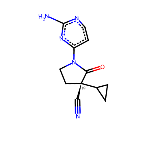 N#C[C@@]1(C2CC2)CCN(c2ccnc(N)n2)C1=O